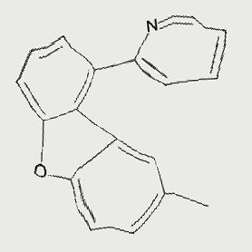 Cc1ccc2oc3cccc(-c4ccccn4)c3c2c1